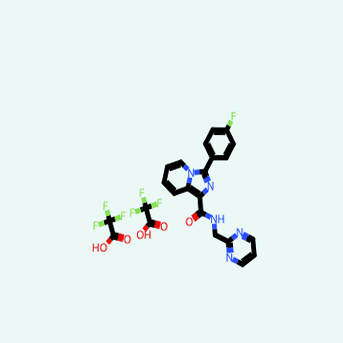 O=C(NCc1ncccn1)c1nc(-c2ccc(F)cc2)n2ccccc12.O=C(O)C(F)(F)F.O=C(O)C(F)(F)F